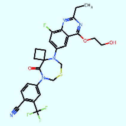 CCc1nc(OCCO)c2cc(N3CSCN(c4ccc(C#N)c(C(F)(F)F)c4)C(=O)C34CCC4)cc(F)c2n1